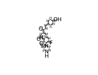 CC(C)Oc1c(N2CCNCC2)c(F)cc2cc(C(=O)C=Cc3ccc(O)cc3)c[n+]([O-])c12